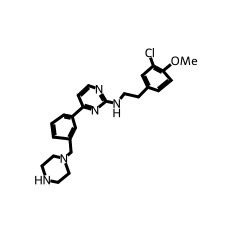 COc1ccc(CCNc2nccc(-c3cccc(CN4CCNCC4)c3)n2)cc1Cl